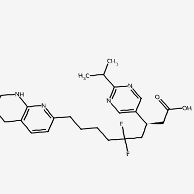 CC(C)c1ncc([C@@H](CC(=O)O)CC(F)(F)CCCCc2ccc3c(n2)NCCC3)cn1